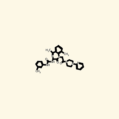 CC1=NC(NC(=O)Nc2cccc(C)c2)C(=O)N(CC(=O)N2CCN(c3ccccn3)CC2)c2c(C)cccc21